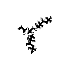 C=CC(=O)OC(C)(COC(F)(F)C(F)(F)C(F)CC(F)(F)F)OC(F)(F)C(F)(F)C(F)CC(F)(F)F